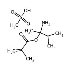 C=C(C)C(=O)OC(C)(N)C(C)C.CS(=O)(=O)O